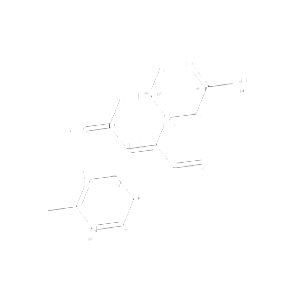 C=C/C(=C(/C(C)=O)[C@@H]1CC=NC(C)=N1)N(CC(=O)O)NC